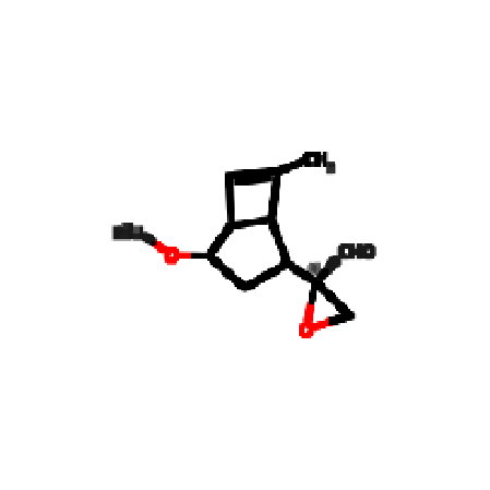 CCCCOC1CC([C@]2(C=O)CO2)C2C(C)=CC12